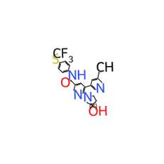 C#Cc1cncc(-c2cc(C(=O)Nc3ccc(SC(F)(F)F)cc3)cnc2N2CC[C@@H](O)C2)c1